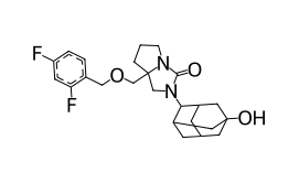 O=C1N(C2C3CC4CC2CC(O)(C4)C3)CC2(COCc3ccc(F)cc3F)CCCN12